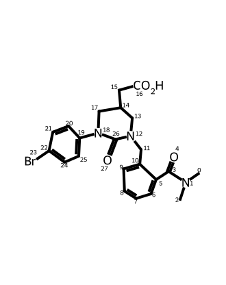 CN(C)C(=O)c1ccccc1CN1CC(CC(=O)O)CN(c2ccc(Br)cc2)C1=O